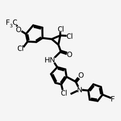 CN(C(=O)c1cc(NC(=O)C2C(c3ccc(OC(F)(F)F)c(Cl)c3)C2(Cl)Cl)ccc1Cl)c1ccc(F)cc1